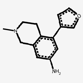 CN1CCc2c(cc(N)cc2-c2ccoc2)C1